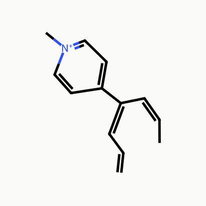 C=C/C=C(\C=C/C)c1cc[n+](C)cc1